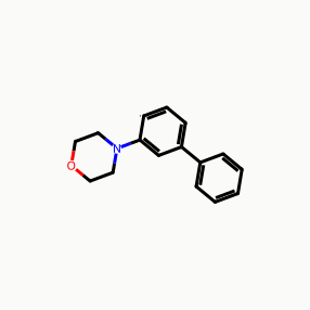 [c]1ccc(-c2ccccc2)cc1N1CCOCC1